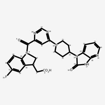 O=C(O)CC1CN(C(=O)c2cc(N3CCC(n4c(=O)[nH]c5ncccc54)CC3)ncn2)c2ccc(F)cc21